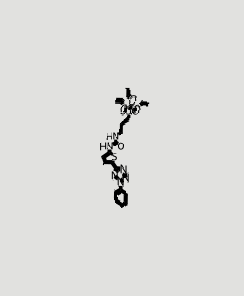 CCO[Si](CCCNC(=O)Nc1ccc(-c2nnn(-c3ccccc3)n2)s1)(OCC)OCC